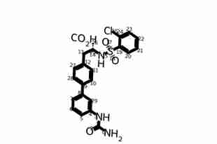 NC(=O)Nc1cccc(-c2ccc(C[C@@H](NS(=O)(=O)c3ccccc3Cl)C(=O)O)cc2)c1